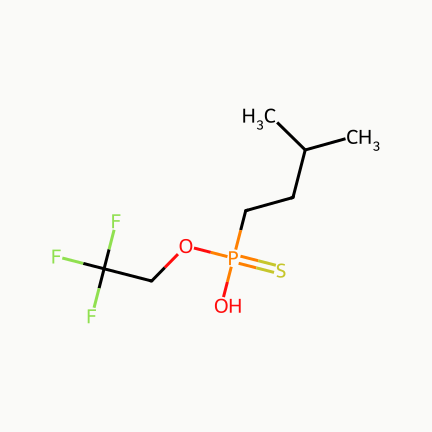 CC(C)CCP(O)(=S)OCC(F)(F)F